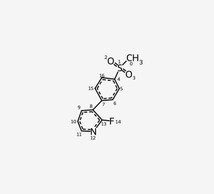 CS(=O)(=O)c1ccc(-c2cccnc2F)cc1